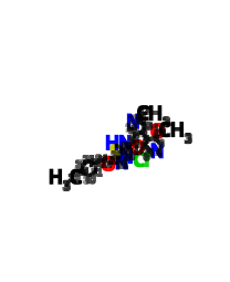 COc1cnc(Cl)cc1-c1cc(C)ncc1C(=O)Nc1nnc(OCC2CCC(C)CC2)s1